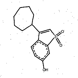 O=S1(=O)C=C(C2CCCCCC2)c2ccc(O)cc21